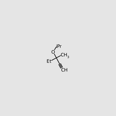 C#CC(C)(CC)OC(C)C